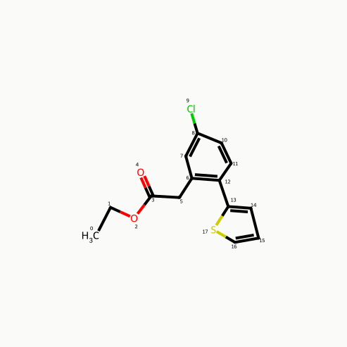 CCOC(=O)Cc1cc(Cl)ccc1-c1cccs1